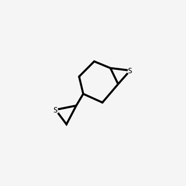 C1CC2SC2CC1C1CS1